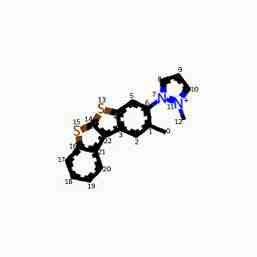 Cc1cc2c(cc1-n1ccc[n+]1C)sc1sc3ccccc3c12